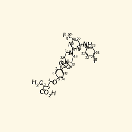 CC(CCOc1ccc(S(=O)(=O)N2CCN(c3nc(Nc4ccc(F)cc4)cc(C(F)(F)F)n3)CC2)cc1)C(=O)O